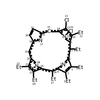 CCC1=C(CC)c2nc1c(CC)c1c(CC)c(Cl)c(cc3nc(cc4c(CC)c(CC)c(c2CC)n4CC)C=C3)n1Cl